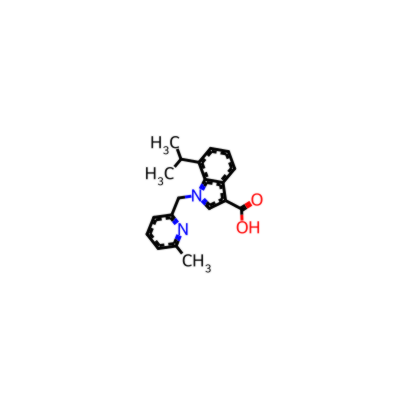 Cc1cccc(Cn2cc(C(=O)O)c3cccc(C(C)C)c32)n1